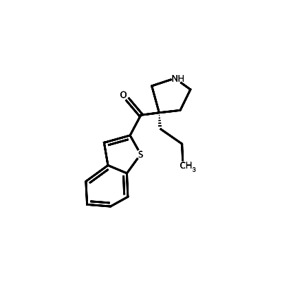 CCC[C@@]1(C(=O)c2cc3ccccc3s2)CCNC1